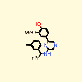 CCCC(Nc1cncc(-c2ccc(O)c(OC)c2)n1)c1cccc(C)c1